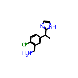 CC(c1ccc(Cl)c(CN)c1)c1ncc[nH]1